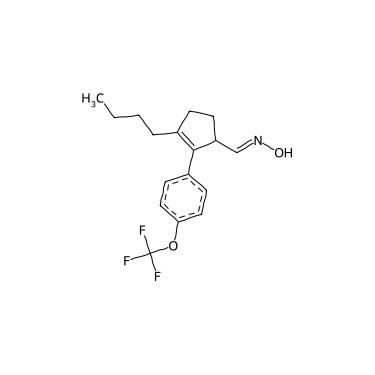 CCCCC1=C(c2ccc(OC(F)(F)F)cc2)C(C=NO)CC1